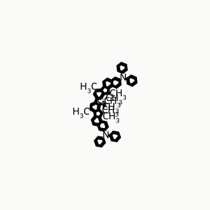 Cc1cc2c(c3c1-c1ccc4cc(N(c5ccccc5)c5ccccc5)ccc4c1C3(C)C)[Si](C)(C)c1c-2cc(C)c2c1C(C)(C)c1c-2ccc2cc(N(c3ccccc3)c3ccccc3)ccc12